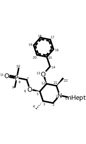 CCCCCCCN1C[C@H](C)[C@@H](OCP(C)(C)=O)[C@@H](OCc2ccccc2)[C@H]1C